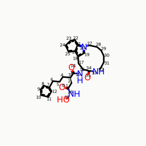 O=C(C[C@@H](CCCc1ccccc1)C(=O)NC1Cc2cn(c3ccccc23)CCCCCCNC1=O)NO